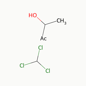 CC(=O)C(C)O.ClC(Cl)Cl